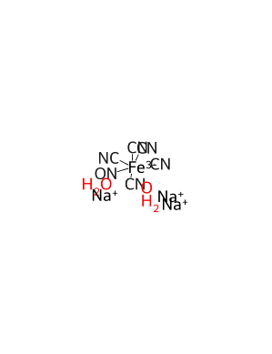 N#[C][Fe-3]([C]#N)([C]#N)([C]#N)([C]#N)[N]=O.O.O.[Na+].[Na+].[Na+]